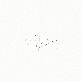 COc1ccc(CN2C(=O)CN3C(=O)C(Oc4nc(C)cc(C)n4)C3(c3ccc(F)c(C)c3)c3ccccc32)cc1